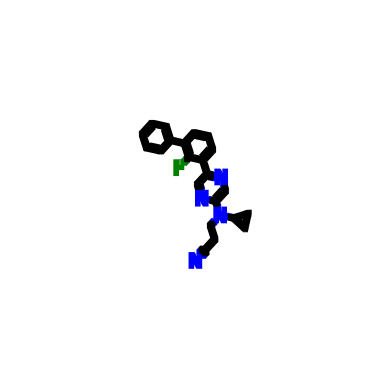 N#CCCN(c1cnc(-c2cccc(-c3ccccc3)c2F)cn1)C1CC1